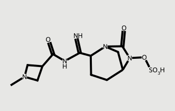 CN1CC(C(=O)NC(=N)C2CCC3CN2C(=O)N3OS(=O)(=O)O)C1